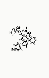 CS(=O)(=O)O.O=C(c1ccccn1)[C@@]12CNCCC1=Cc1c(cnn1-c1ccc(F)cc1)C2